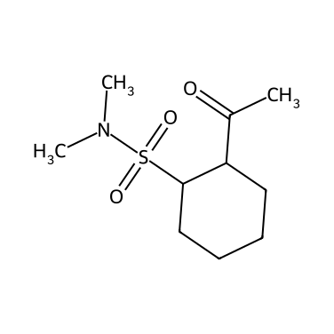 CC(=O)C1CCCCC1S(=O)(=O)N(C)C